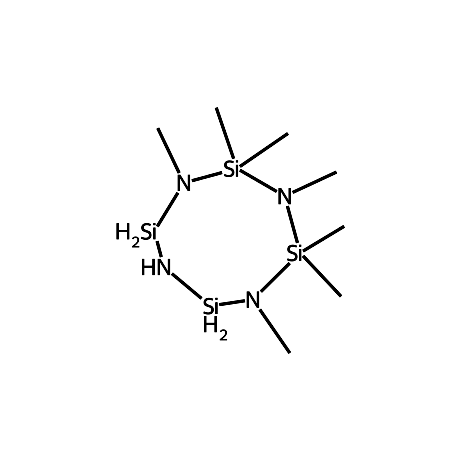 CN1[SiH2]N[SiH2]N(C)[Si](C)(C)N(C)[Si]1(C)C